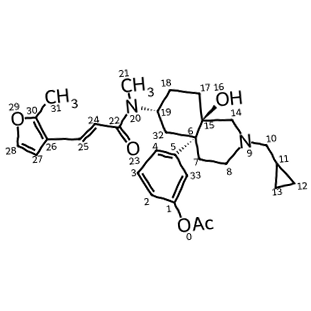 CC(=O)Oc1cccc([C@@]23CCN(CC4CC4)C[C@@]2(O)CC[C@@H](N(C)C(=O)/C=C/c2ccoc2C)C3)c1